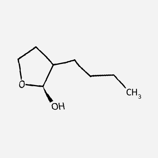 CCCCC1CCO[C@@H]1O